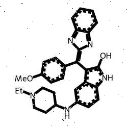 CCN1CCC(Nc2ccc3[nH]c(O)c(C(=C4N=c5ccccc5=N4)c4ccc(OC)cc4)c3c2)CC1